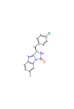 Cc1ccc2nc3n(c2c1)C(=O)N[C@@H]3Cc1ccc(Br)cc1